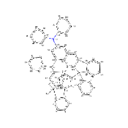 CC1(C)c2ccccc2-c2cc(C3(c4ccccc4)c4ccccc4-c4cc5cc(N(c6ccccc6)c6ccccc6)cc(C(c6ccccc6)c6ccccc6)c5cc43)ccc21